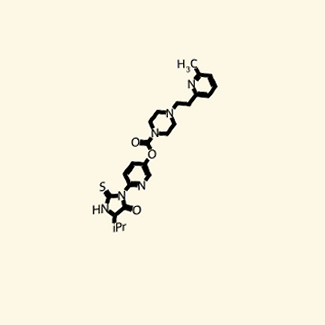 Cc1cccc(CCN2CCN(C(=O)Oc3ccc(N4C(=O)C(C(C)C)NC4=S)nc3)CC2)n1